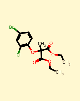 CCOC(=O)C(C)(Oc1ccc(Br)cc1Cl)C(=O)OCC